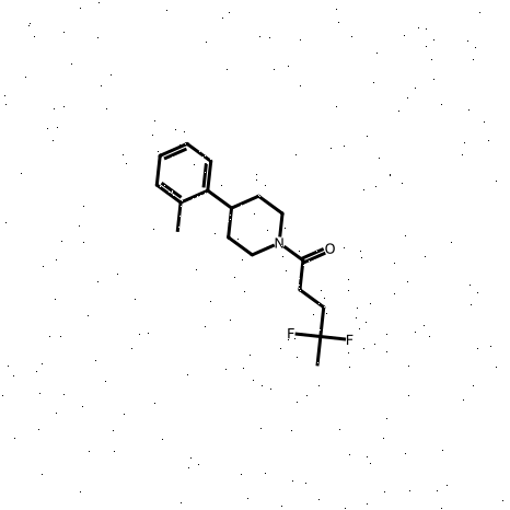 Cc1ccccc1C1CCN(C(=O)CCC(C)(F)F)CC1